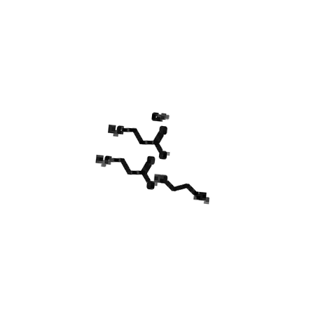 CCCC(=O)[O-].CCCC(=O)[O-].NCCO.[Ca+2]